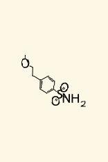 COCCc1ccc(S(N)(=O)=O)cc1